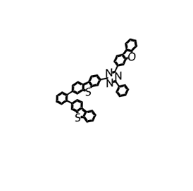 c1ccc(-c2nc(-c3ccc4c(c3)oc3ccccc34)nc(-c3ccc4c(c3)sc3cc(-c5ccccc5-c5ccc6c(c5)sc5ccccc56)ccc34)n2)cc1